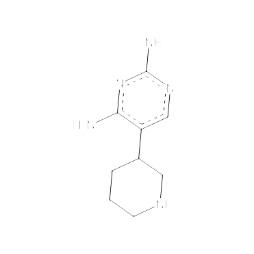 Nc1ncc(C2CCCNC2)c(N)n1